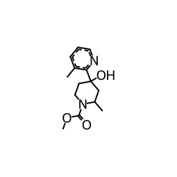 COC(=O)N1CCC(O)(c2ncccc2C)CC1C